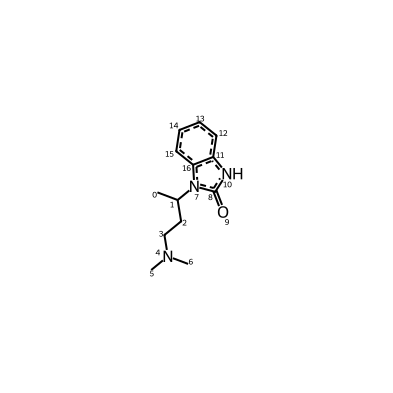 CC(CCN(C)C)n1c(=O)[nH]c2ccccc21